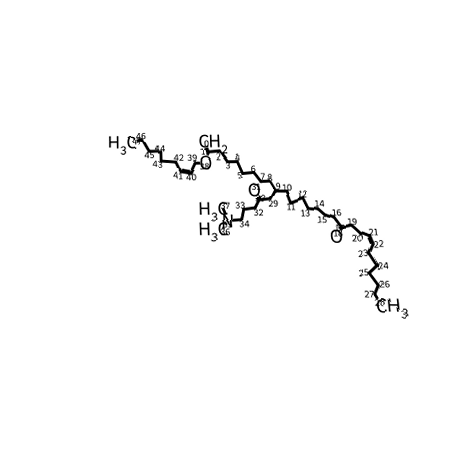 C=C(CCCCCCCC(CCCCCCCC(=O)CC/C=C\CCCCCC)CC(=O)CCCN(C)C)OC/C=C\CCCCCC